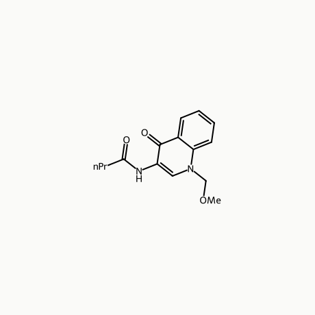 CCCC(=O)Nc1cn(COC)c2ccccc2c1=O